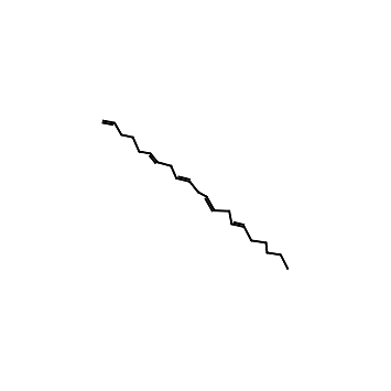 C=CCCC/C=C/C/C=C/C/C=C/C/C=C/CCCCC